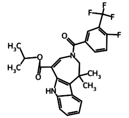 CC(C)OC(=O)C1=CN(C(=O)c2ccc(F)c(C(F)(F)F)c2)CC(C)(C)c2c1[nH]c1ccccc21